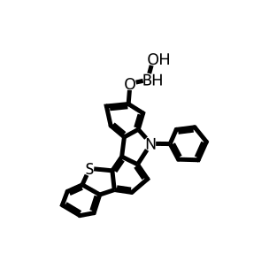 OBOc1ccc2c3c4sc5ccccc5c4ccc3n(-c3ccccc3)c2c1